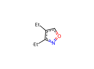 C[CH]c1nocc1CC